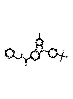 Cc1nc2c(s1)c1cc(C(=O)NCc3ccccn3)ccc1n2-c1ccc(C(F)(F)F)cc1